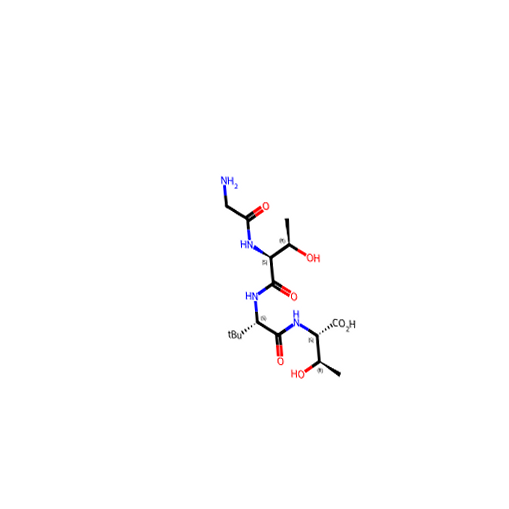 C[C@@H](O)[C@H](NC(=O)[C@@H](NC(=O)[C@@H](NC(=O)CN)[C@@H](C)O)C(C)(C)C)C(=O)O